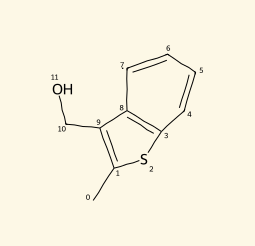 Cc1sc2ccc[c]c2c1CO